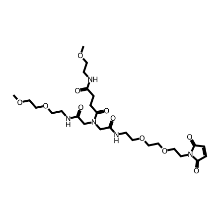 COCCNC(=O)CCC(=O)N(CC(=O)NCCOCCOC)CC(=O)NCCOCCOCCN1C(=O)C=CC1=O